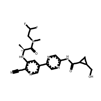 C[C@H](Nc1cc(-c2cnc(NC(=O)C3CC3CO)cn2)cnc1C#N)C(=O)N(C)CC(F)F